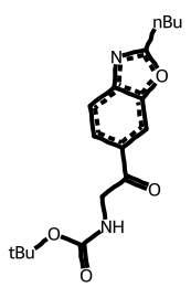 CCCCc1nc2ccc(C(=O)CNC(=O)OC(C)(C)C)cc2o1